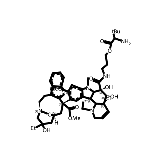 CCC1(O)C[C@H]2C[N@](CCc3c([nH]c4ccccc34)[C@@](C(=O)OC)(c3cc4c(cc3OC)N(C)C3[C@]45CCN4CC=C[C@](CC)(C45)[C@@H](O)[C@]3(O)C(=O)NCCCOC(=O)C(N)C(C)(C)C)C2)C1